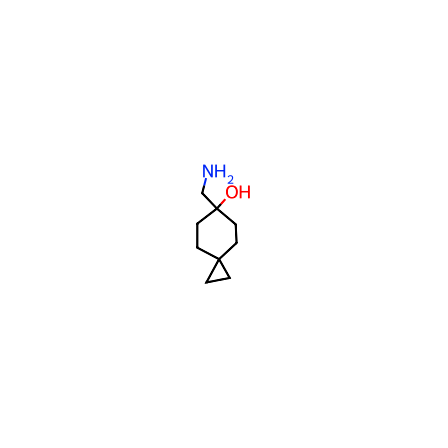 NCC1(O)CCC2(CC1)CC2